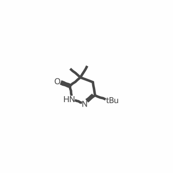 CC(C)(C)C1=NNC(=O)C(C)(C)C1